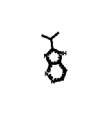 CC(C)c1nc2nnccc2[nH]1